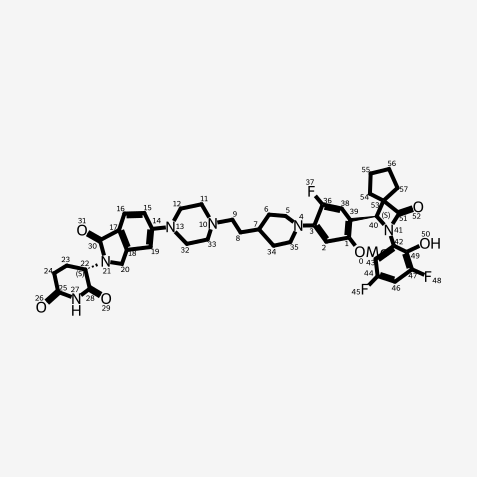 COc1cc(N2CCC(CCN3CCN(c4ccc5c(c4)CN([C@H]4CCC(=O)NC4=O)C5=O)CC3)CC2)c(F)cc1[C@@H]1N(c2cc(F)cc(F)c2O)C(=O)C12CCCC2